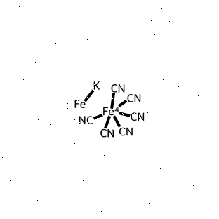 N#[C][Fe-4]([C]#N)([C]#N)([C]#N)([C]#N)[C]#N.[K][Fe]